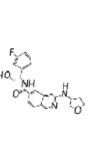 O=C(N[C@H](CO)c1cccc(F)c1)c1ccc2cnc(NC3CCOC3)cc2c1